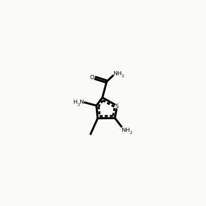 Cc1c(N)sc(C(N)=O)c1N